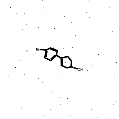 OC1CC=C(c2ccc(Br)cc2)CC1